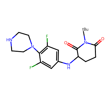 CC(C)(C)N1C(=O)CCC(Nc2cc(F)c(N3CCNCC3)c(F)c2)C1=O